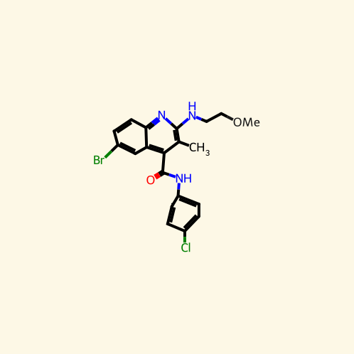 COCCNc1nc2ccc(Br)cc2c(C(=O)Nc2[c]cc(Cl)cc2)c1C